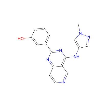 Cn1cc(Nc2nc(-c3cccc(O)c3)nc3ccncc23)cn1